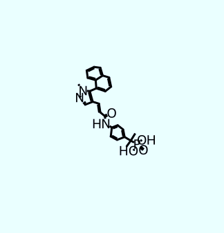 Cn1ncc(C=CC(=O)Nc2ccc(C(C)(C)P(=O)(O)O)cc2)c1-c1cccc2ccccc12